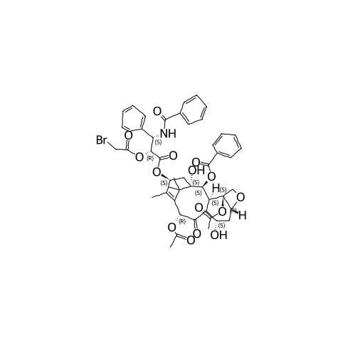 CC(=O)O[C@H]1C(=O)C2[C@@H](O)C[C@H]3OC[C@@]3(OC(C)=O)[C@@H]2[C@H](OC(=O)c2ccccc2)[C@]2(O)C[C@H](OC(=O)[C@H](OC(=O)CBr)[C@@H](NC(=O)c3ccccc3)c3ccccc3)C(C)=C1C2(C)C